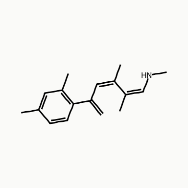 C=C(/C=C(C)\C(C)=C/NC)c1ccc(C)cc1C